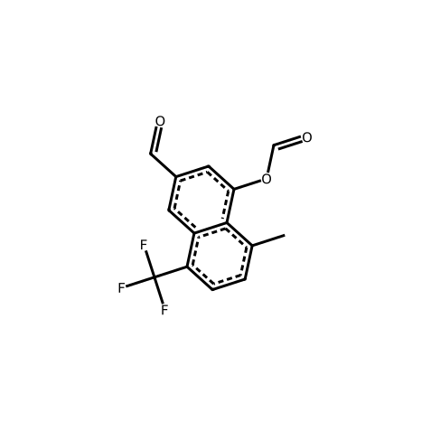 Cc1ccc(C(F)(F)F)c2cc(C=O)cc(OC=O)c12